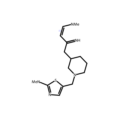 CN/C=C\C(=N)CC1CCCN(Cc2cnc(NC)s2)C1